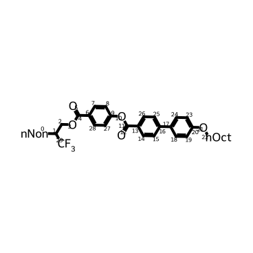 CCCCCCCCCC(COC(=O)c1ccc(OC(=O)c2ccc(-c3ccc(OCCCCCCCC)cc3)cc2)cc1)C(F)(F)F